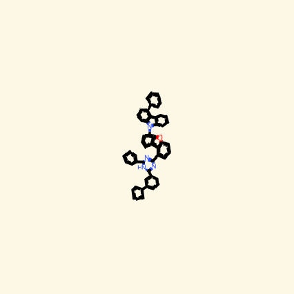 c1ccc(-c2cccc(C3=NC(c4cccc5oc6c(-n7c8ccccc8c8c(-c9ccccc9)cccc87)cccc6c45)=NC(c4ccccc4)N3)c2)cc1